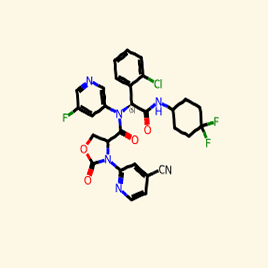 N#Cc1ccnc(N2C(=O)OCC2C(=O)N(c2cncc(F)c2)[C@H](C(=O)NC2CCC(F)(F)CC2)c2ccccc2Cl)c1